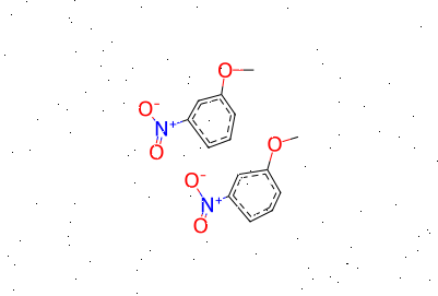 COc1cccc([N+](=O)[O-])c1.COc1cccc([N+](=O)[O-])c1